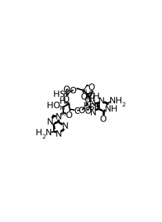 Nc1nc2c(ncn2[C@@H]2O[C@@]34CO[C@@H]2[C@@H]3O[P@@](=O)(S)OCC2O[C@@H](n3cnc5c(N)ncnc53)[C@H](O)[C@@H]2O[P@](=O)(S)OC4)c(=O)[nH]1